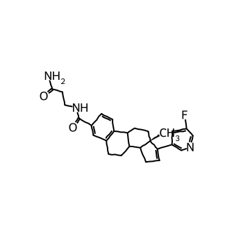 C[C@]12CCC3c4ccc(C(=O)NCCC(N)=O)cc4CCC3C1CC=C2c1cncc(F)c1